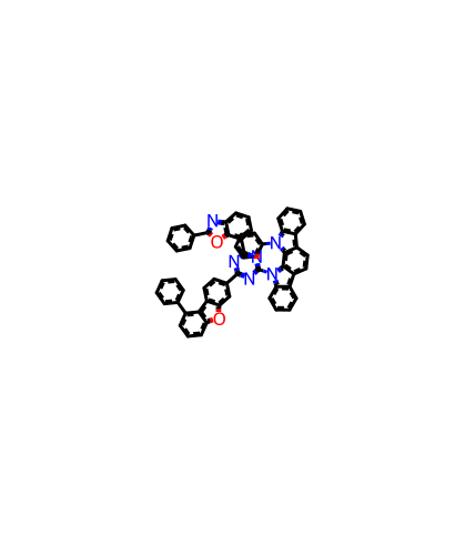 c1ccc(-c2nc3cccc(-c4nc(-c5ccc6c(c5)oc5cccc(-c7ccccc7)c56)nc(-n5c6ccccc6c6ccc7c8ccccc8n(-c8ccccc8)c7c65)n4)c3o2)cc1